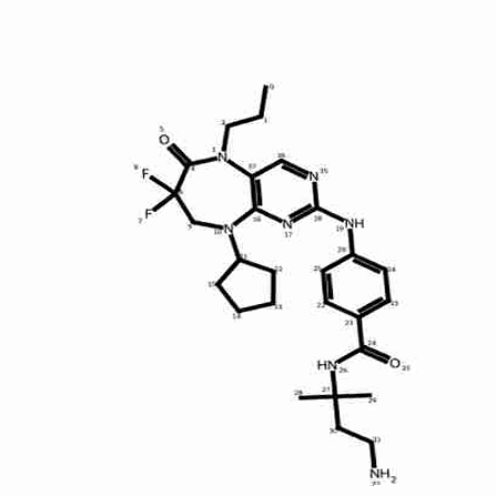 CCCN1C(=O)C(F)(F)CN(C2CCCC2)c2nc(Nc3ccc(C(=O)NC(C)(C)CCN)cc3)ncc21